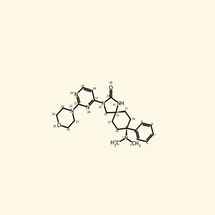 CN(C)[C@]1(c2ccccc2)CC[C@@]2(CC1)CN(c1ccnc(N3CCOCC3)n1)C(=O)N2